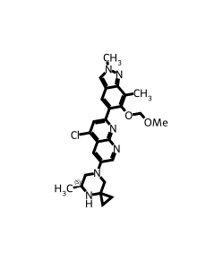 COCOc1c(-c2cc(Cl)c3cc(N4C[C@H](C)NC5(CC5)C4)cnc3n2)cc2cn(C)nc2c1C